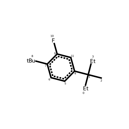 CCC(C)(CC)c1ccc(C(C)(C)C)c(F)c1